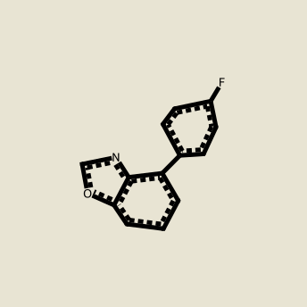 Fc1ccc(-c2cccc3ocnc23)cc1